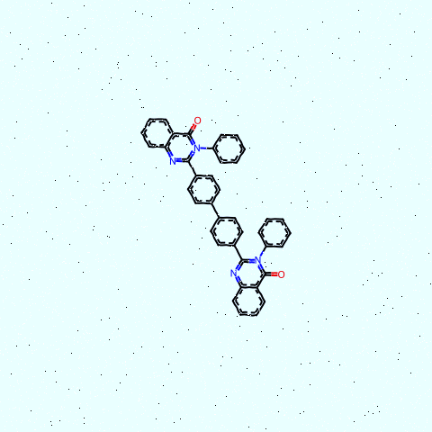 O=c1c2ccccc2nc(-c2ccc(-c3ccc(-c4nc5ccccc5c(=O)n4-c4ccccc4)cc3)cc2)n1-c1ccccc1